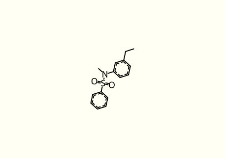 CCc1cccc(N(C)S(=O)(=O)c2ccccc2)c1